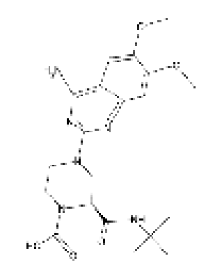 COc1cc2nc(N3CCN(C(=O)O)[C@H](C(=O)NC(C)(C)C)C3)nc(N)c2cc1OC